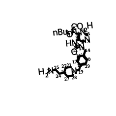 CCCCON(C(=O)O)c1ncnc2c1[nH]c(=O)n2Cc1ccc(CN2CCC(CCN)CC2)cc1